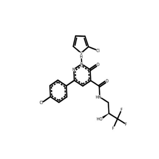 O=C(NC[C@H](O)C(F)(F)F)c1cc(-c2ccc(Cl)cc2)nn([SH]2C=CC=C2Cl)c1=O